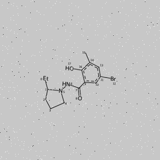 CCC1CCCN1NC(=O)c1cc(Br)cc(C)c1O